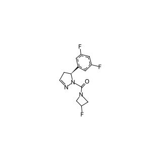 O=C(N1CC(F)C1)N1N=CC[C@H]1c1cc(F)cc(F)c1